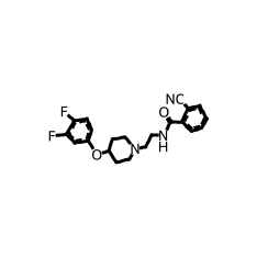 N#Cc1ccccc1C(=O)NCCN1CCC(Oc2ccc(F)c(F)c2)CC1